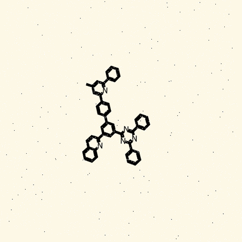 Cc1cc(-c2ccccc2)nc(-c2ccc(-c3cc(-c4ccc5ccccc5n4)cc(-c4nc(-c5ccccc5)nc(-c5ccccc5)n4)c3)cc2)c1